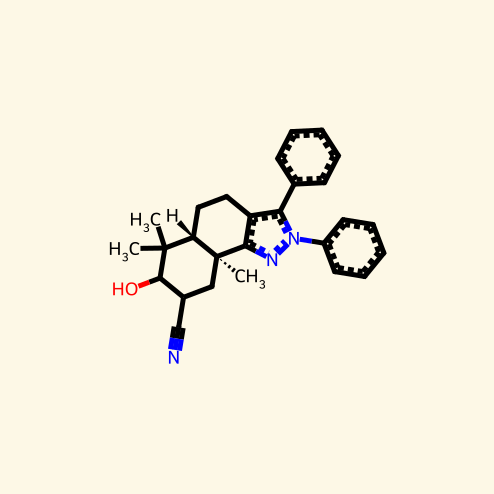 CC1(C)C(O)C(C#N)C[C@]2(C)c3nn(-c4ccccc4)c(-c4ccccc4)c3CC[C@@H]12